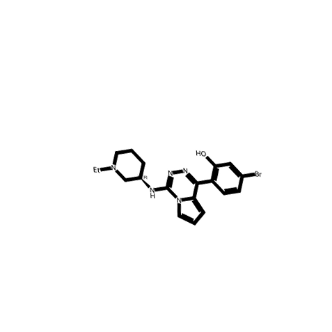 CCN1CCC[C@@H](Nc2nnc(-c3ccc(Br)cc3O)c3cccn23)C1